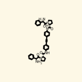 N[C@H](C(=O)N1CCC[C@H]1C(=O)Nc1ccc(C#Cc2ccc(NC(=O)[C@@H]3CCCN3C(=O)[C@@H](N)c3ccccc3)cc2)cc1)c1ccccc1